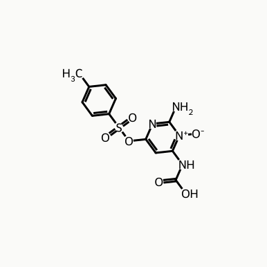 Cc1ccc(S(=O)(=O)Oc2cc(NC(=O)O)[n+]([O-])c(N)n2)cc1